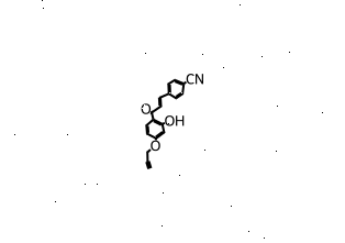 C#CCOc1ccc(C(=O)C=Cc2ccc(C#N)cc2)c(O)c1